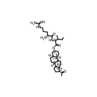 CCC(C)[C@H](NC(=O)[C@@H](N)CCCNC(=N)N)C(=O)O[C@@H]1CC[C@@]2(C)[C@@H](CC[C@@H]3[C@@H]2CC[C@]2(C)[C@@H](C(C)=O)CC[C@@H]32)C1